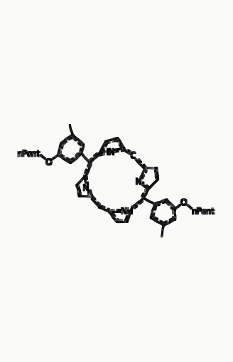 CCCCCOc1cc(C)cc(-c2c3nc(cc4ccc([nH]4)c(-c4cc(C)cc(OCCCCC)c4)c4nc(cc5ccc2[nH]5)C=C4)C=C3)c1